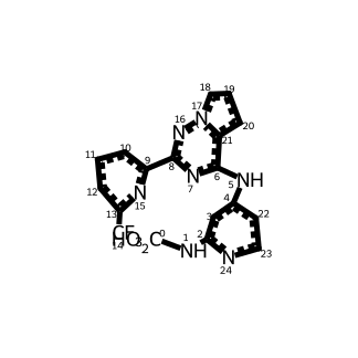 O=C(O)Nc1cc(Nc2nc(-c3cccc(C(F)(F)F)n3)nn3cccc23)ccn1